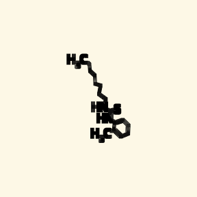 CCCCCCCCNC(=S)Nc1ccccc1C